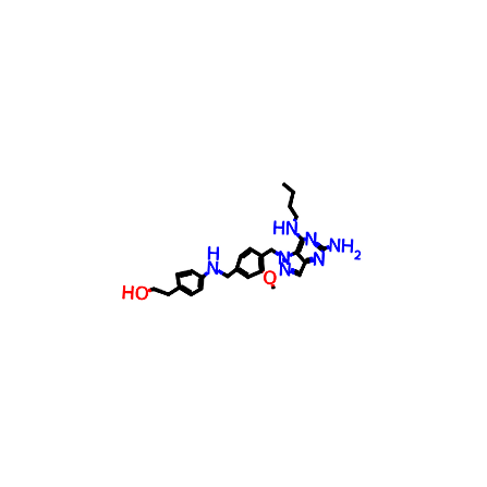 CCCCNc1nc(N)nc2cnn(Cc3ccc(CNc4ccc(CCO)cc4)cc3OC)c12